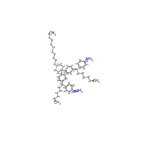 CCCCCCCCCCC1CCC(c2ccc(C(CCCCCC)c3ccc(N)cc3)cc2)(c2ccc(C(CCCCCC)c3ccc(N)cc3)cc2)CC1